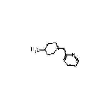 CC1CCN(Cc2ccccn2)CC1